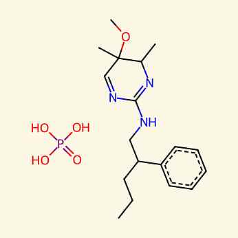 CCCC(CNC1=NC(C)C(C)(OC)C=N1)c1ccccc1.O=P(O)(O)O